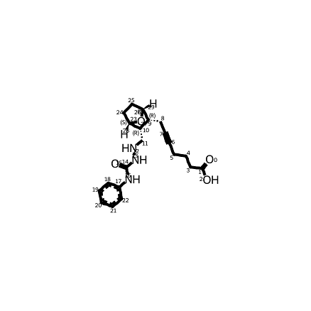 O=C(O)CCCC#CC[C@@H]1[C@H](CNNC(=O)Nc2ccccc2)[C@@H]2CC[C@H]1O2